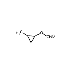 CC1CC1OC=O